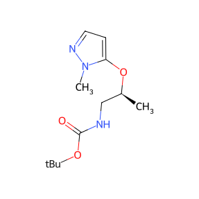 C[C@@H](CNC(=O)OC(C)(C)C)Oc1ccnn1C